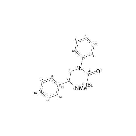 CNC(CN(C(=O)C(C)(C)C)c1ccccc1)c1ccncc1